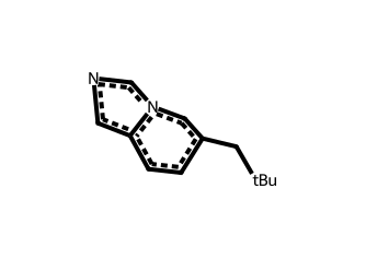 CC(C)(C)Cc1ccc2cncn2c1